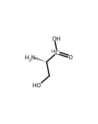 N[C@@H](CO)[14C](=O)O